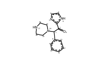 O=C(c1ncc[nH]1)C(c1ccccc1)N1CCNCC1